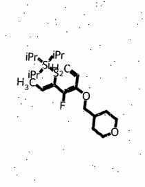 C=CC(OCC1CCOCC1)=C(F)C(=CC)S[Si](C(C)C)(C(C)C)C(C)C